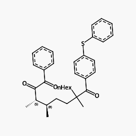 CCCCCCC(C)(CC[C@@H](C)[C@H](C)C(=O)C(=O)c1ccccc1)C(=O)c1ccc(Sc2ccccc2)cc1